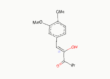 COc1ccc(/C=C(\O)C(=O)C(C)C)cc1OC